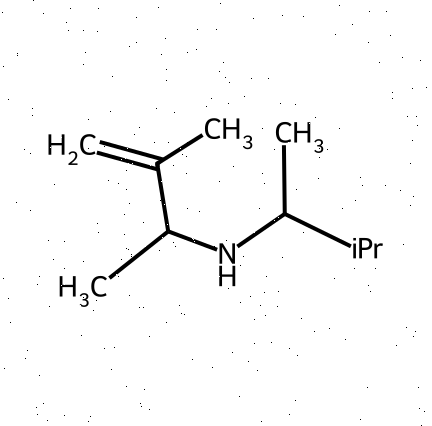 C=C(C)C(C)NC(C)C(C)C